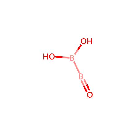 O=BB(O)O